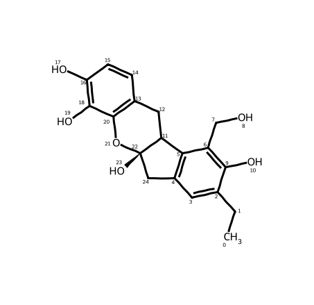 CCc1cc2c(c(CO)c1O)C1Cc3ccc(O)c(O)c3O[C@@]1(O)C2